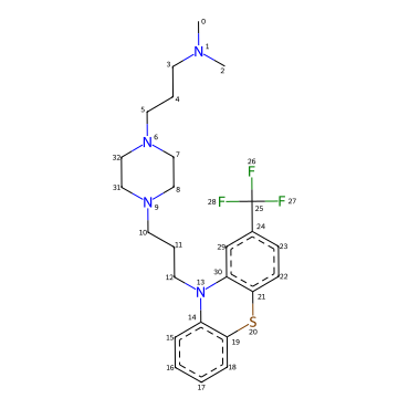 CN(C)CCCN1CCN(CCCN2c3ccccc3Sc3ccc(C(F)(F)F)cc32)CC1